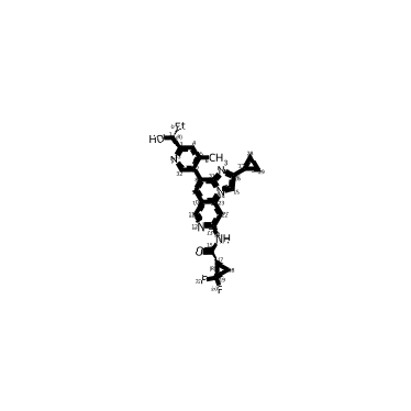 CC[C@@H](O)c1cc(C)c(-c2cc3cnc(NC(=O)[C@H]4CC4(F)F)cc3n3cc(C4CC4)nc23)cn1